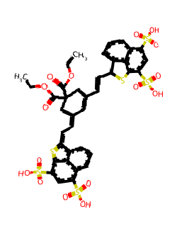 CCOC(=O)C1(C(=O)OCC)CC(/C=C/C2Sc3c(S(=O)(=O)O)cc(S(=O)(=O)O)c4cccc2c34)=CC(=C/C=c2/sc3c(S(=O)(=O)O)cc(S(=O)(=O)O)c4cccc2c43)/C1